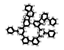 c1ccc(-c2nc(-c3cccc(-c4cccc(-c5nc(-c6ccccc6)nc(-c6cccc7c6oc6c(-c8ccccc8)cccc67)n5)c4)c3)cc(-c3ccc4c(c3)oc3c5ccccc5ccc43)n2)cc1